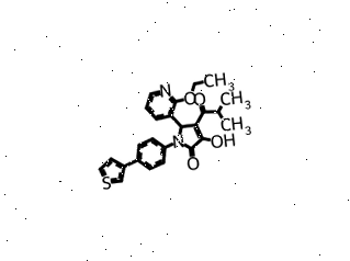 CCOc1ncccc1C1C(C(=O)C(C)C)=C(O)C(=O)N1c1ccc(-c2ccsc2)cc1